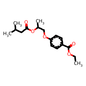 CCOC(=O)c1ccc(OCC(C)OC(=O)CC(C)C)cc1